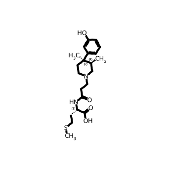 CSCC[C@H](NC(=O)CCN1CC[C@@](C)(c2cccc(O)c2)[C@@H](C)C1)C(=O)O